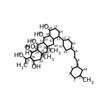 CC1CCCC(CCCC2CCC(C3CCC(O)C4C(O)C5C(O)[C@]6(O)C(O)C(C(C)O)C(O)C[C@]6(C)C[C@]5(C)CC34)CC2)C1